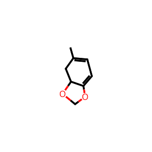 CC1=CC=C2OCOC2C1